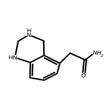 NC(=O)Cc1cccc2c1CNCN2